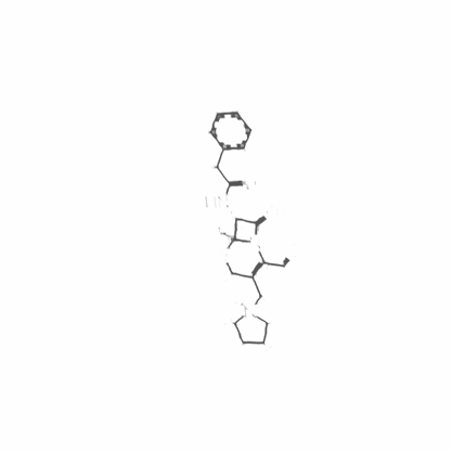 C[N+]1(CC2=C(C=O)N3C(=O)[C@@H](NC(=O)Cc4ccccc4)[C@H]3SC2)CCCC1